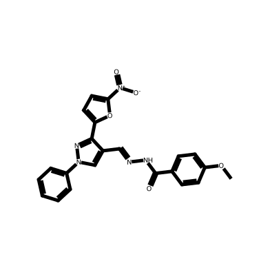 COc1ccc(C(=O)NN=Cc2cn(-c3ccccc3)nc2-c2ccc([N+](=O)[O-])o2)cc1